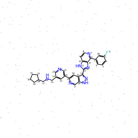 Fc1cccc(-c2nccc3[nH]c(-c4n[nH]c5cnc(-c6cncc(CNCC7CCCC7)c6)cc45)nc23)c1